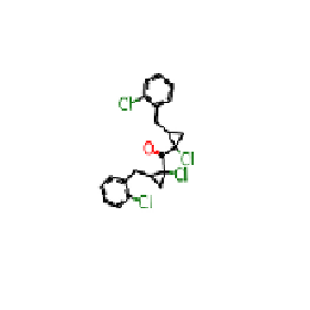 O=C(C1(Cl)CC1Cc1ccccc1Cl)C1(Cl)CC1Cc1ccccc1Cl